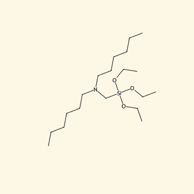 CCCCCCN(CCCCCC)C[Si](OCC)(OCC)OCC